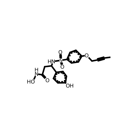 CC#CCOc1ccc(S(=O)(=O)NC(CC(=O)NO)c2ccc(O)cc2)cc1